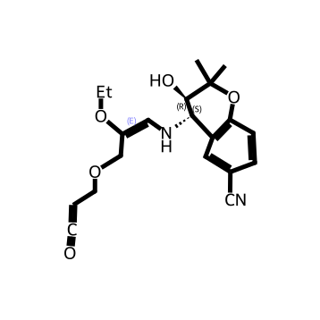 CCO/C(=C/N[C@H]1c2cc(C#N)ccc2OC(C)(C)[C@@H]1O)COCC=C=O